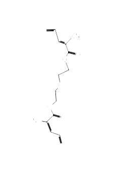 C=CC=C(C#N)C(=O)OCCOCCOC(=O)C(C#N)=CC=C